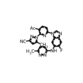 CC(=O)c1ccc(-n2cnc3cc(F)c(Nc4ccc(C)nn4)cc32)nc1-n1nc(C#N)cc1C